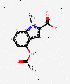 CC(=O)Oc1cccc2c1cc(C(=O)O)n2C